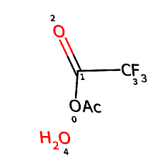 CC(=O)OC(=O)C(F)(F)F.O